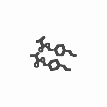 CCC[C@H]1CC[C@H](COC(=O)C(C)C)CC1.CCC[C@H]1CC[C@H](COC(=O)C(C)C)CC1